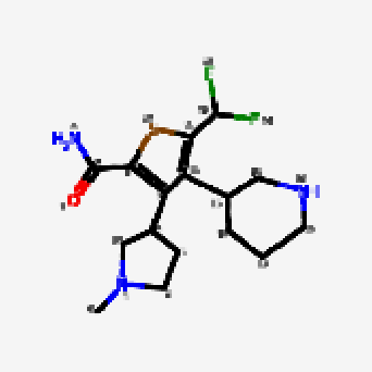 CN1CCC(c2c(C(N)=O)sc(C(F)F)c2C2CCCNC2)C1